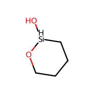 O[SiH]1CCCCO1